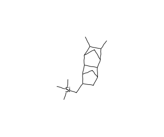 CC1C(C)C2CC1C1C3CC(C[Si](C)(C)C)C(C3)C21